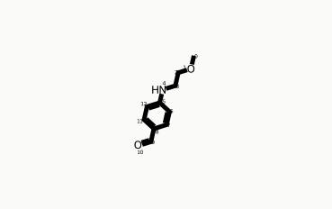 COCCNc1ccc(C=O)cc1